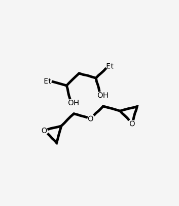 C(OCC1CO1)C1CO1.CCC(O)CC(O)CC